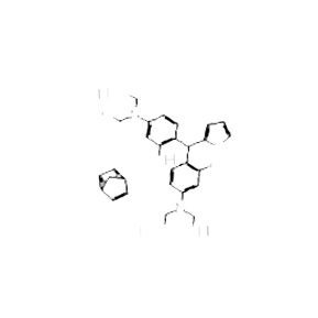 C1=CC2=CC=C1C2.CCN(CC)c1ccc(C(c2cccs2)c2ccc(N(CC)CC)cc2C)c(C)c1